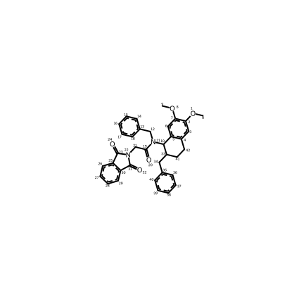 COc1cc2c(cc1OC)C(N(Cc1ccccc1)C(=O)CN1C(=O)c3ccccc3C1=O)C(Cc1ccccc1)CC2